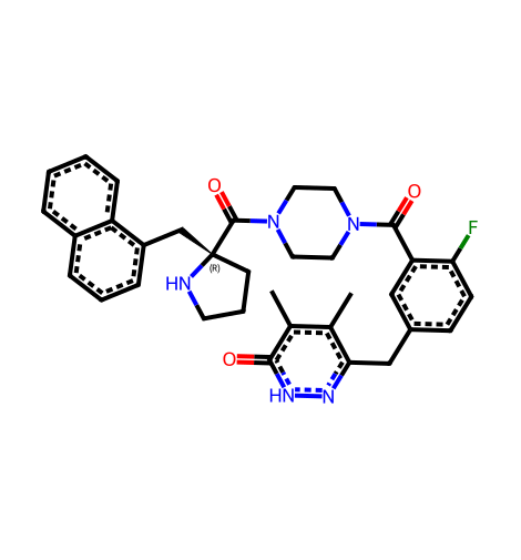 Cc1c(Cc2ccc(F)c(C(=O)N3CCN(C(=O)[C@]4(Cc5cccc6ccccc56)CCCN4)CC3)c2)n[nH]c(=O)c1C